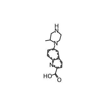 CC1CNCCN1c1ccc2nc(C(=O)O)ccc2c1